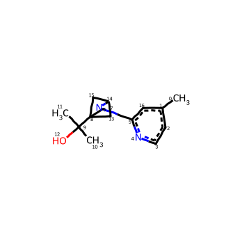 Cc1ccnc(N2CC3(C(C)(C)O)CC2C3)c1